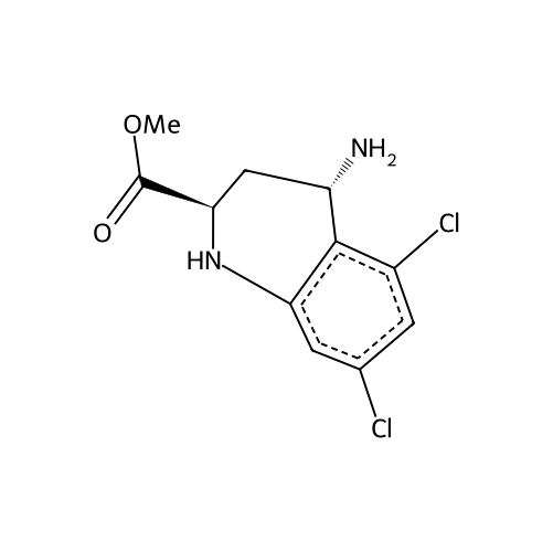 COC(=O)[C@H]1C[C@H](N)c2c(Cl)cc(Cl)cc2N1